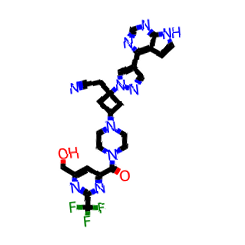 N#CCC1(n2cc(-c3ncnc4[nH]ccc34)cn2)CC(N2CCN(C(=O)c3cc(CO)nc(C(F)(F)F)n3)CC2)C1